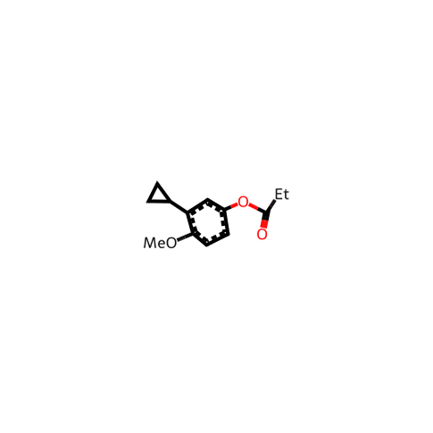 CCC(=O)Oc1ccc(OC)c(C2CC2)c1